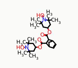 CC1(C)CC(OC(=O)C2C3C=CC(C3)C2C(=O)OC2CC(C)(C)N(O)C(C)(C)C2)CC(C)(C)N1O